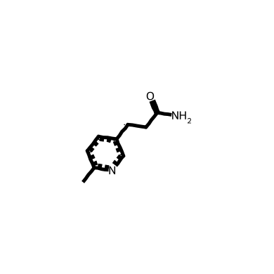 Cc1ccc([CH]CC(N)=O)cn1